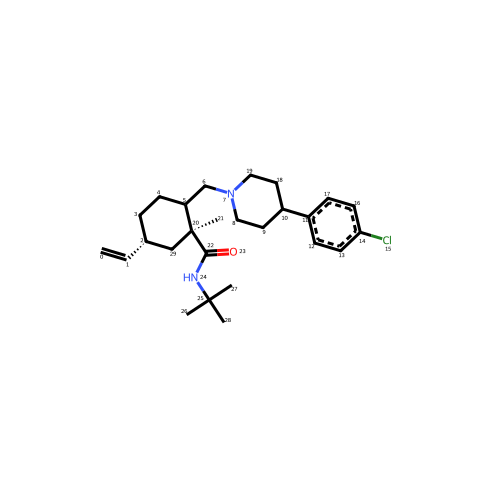 C=C[C@@H]1CCC(CN2CCC(c3ccc(Cl)cc3)CC2)[C@@](C)(C(=O)NC(C)(C)C)C1